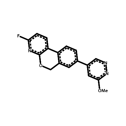 COc1cc(-c2ccc3c(c2)COc2nc(F)ccc2-3)cnn1